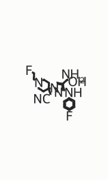 N#CCC1(n2cc(C(N)O)c(Nc3ccc(F)cc3)n2)CCN(CCF)CC1